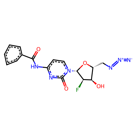 [N-]=[N+]=NC[C@H]1O[C@@H](n2ccc(NC(=O)c3ccccc3)nc2=O)[C@H](F)[C@@H]1O